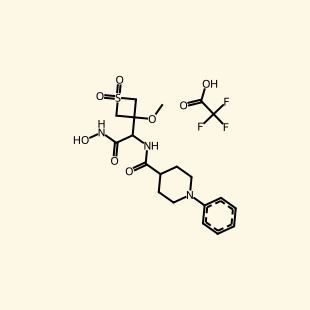 COC1(C(NC(=O)C2CCN(c3ccccc3)CC2)C(=O)NO)CS(=O)(=O)C1.O=C(O)C(F)(F)F